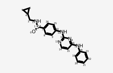 [O-][S+](NCC1CC1)c1ccc(Nc2nccc(Nc3ccccc3)n2)cc1